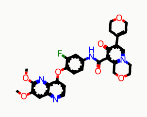 COc1cc2nccc(Oc3ccc(NC(=O)c4c5n(cc(C6=CCOCC6)c4=O)CCOC5)cc3F)c2nc1OC